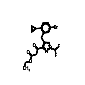 CCOC(=O)CC(=O)c1nn(C(F)F)cc1Cc1cc(Br)ccc1C1CC1